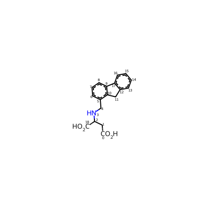 O=C(O)CC(NCc1cccc2c1Cc1ccccc1-2)C(=O)O